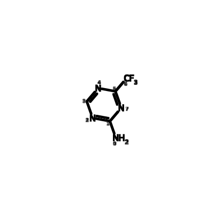 Nc1ncnc(C(F)(F)F)n1